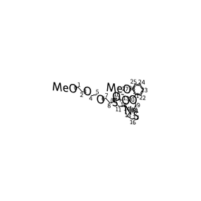 COCCOCCOCC[S@+]([O-])CC(=O)N1CCS[C@@H]1COc1ccccc1OC